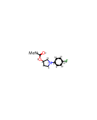 CNC(=O)OC1CCN(c2ccc(F)cc2)C1